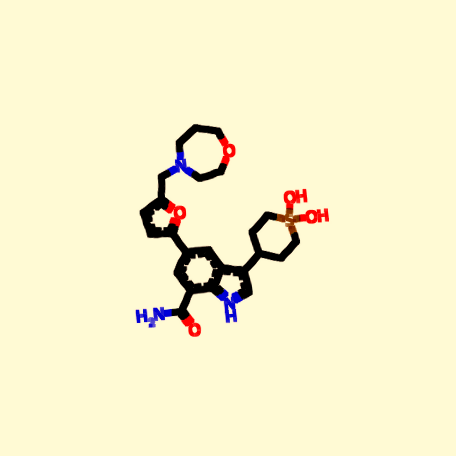 NC(=O)c1cc(-c2ccc(CN3CCCOCC3)o2)cc2c(C3CCS(O)(O)CC3)c[nH]c12